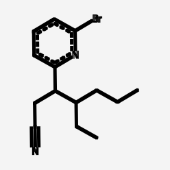 CCCC(CC)C(CC#N)c1cccc(Br)n1